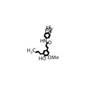 C/C=C/Cc1cc(/C=C/C(=O)Nc2ccc(S(F)(F)(F)(F)F)cc2)cc(OC)c1O